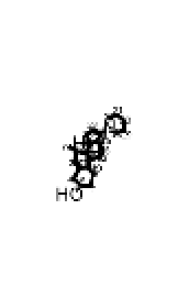 CC1C=C2CC(O)CC[C@]2(C)[C@@H]2CC[C@]3(C)C(N4CCCCC4)=CC[C@H]3[C@H]12